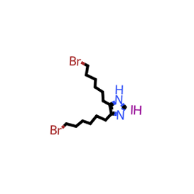 BrCCCCCCc1nc[nH]c1CCCCCCBr.I